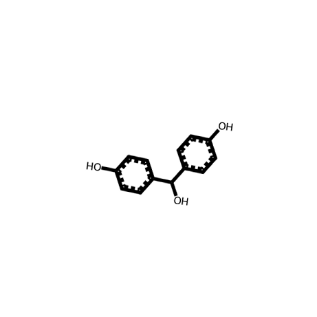 Oc1ccc(C(O)c2ccc(O)cc2)cc1